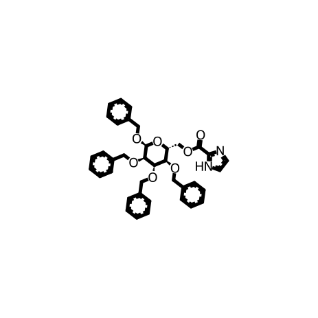 O=C(OC[C@H]1O[C@H](OCc2ccccc2)[C@H](OCc2ccccc2)[C@@H](OCc2ccccc2)[C@@H]1OCc1ccccc1)c1ncc[nH]1